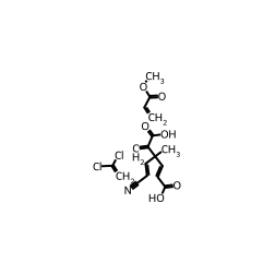 C=C(C(=O)O)C(C)(C=CC#N)C=CC(=O)O.C=C(Cl)Cl.C=CC(=O)OC